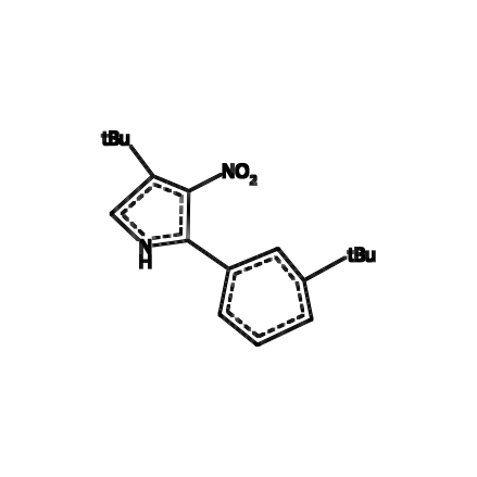 CC(C)(C)c1cccc(-c2[nH]cc(C(C)(C)C)c2[N+](=O)[O-])c1